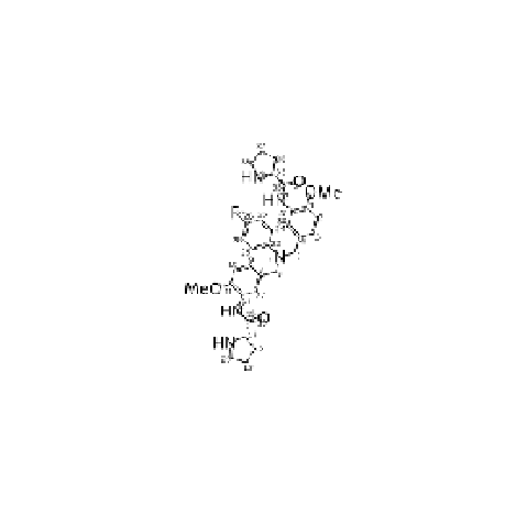 COc1ccc(CN(Cc2ccc(OC)c(NC(=O)[C@@H]3CCCN3)c2)c2ccc(F)cc2)cc1NC(=O)[C@@H]1CCCN1